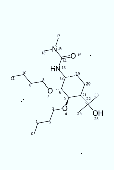 CCCCO[C@H]1[C@H](OCCCC)C(NC(=O)N(C)C)CC[C@@H]1C(C)(C)O